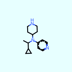 CC(C1CC1)N(c1ccncc1)C1CCNCC1